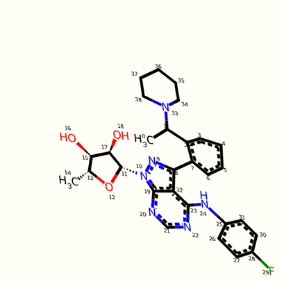 CC(c1ccccc1-c1nn([C@@H]2O[C@H](C)[C@@H](O)[C@H]2O)c2ncnc(Nc3ccc(F)cc3)c12)N1CCCCC1